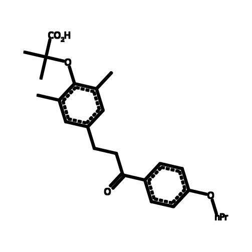 CCCOc1ccc(C(=O)CCc2cc(C)c(OC(C)(C)C(=O)O)c(C)c2)cc1